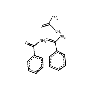 CC(C)=O.NC(=O)c1ccccc1.NC(=O)c1ccccc1